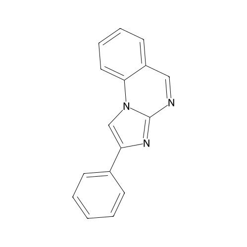 c1ccc(-c2cn3c(ncc4ccccc43)n2)cc1